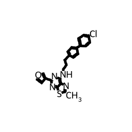 Cc1nc2c(NCCCc3ccc(-c4ccc(Cl)cc4)cc3)nc(-c3ccoc3)nc2s1